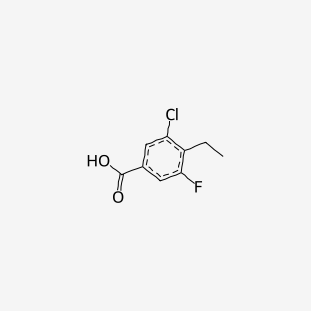 CCc1c(F)cc(C(=O)O)cc1Cl